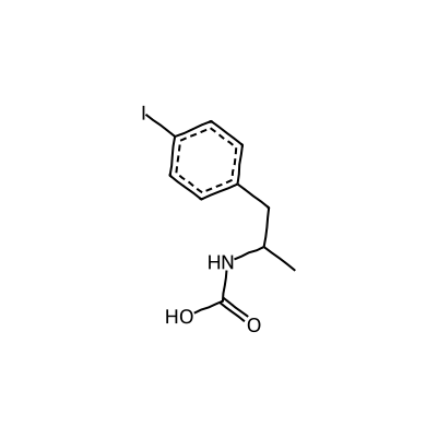 CC(Cc1ccc(I)cc1)NC(=O)O